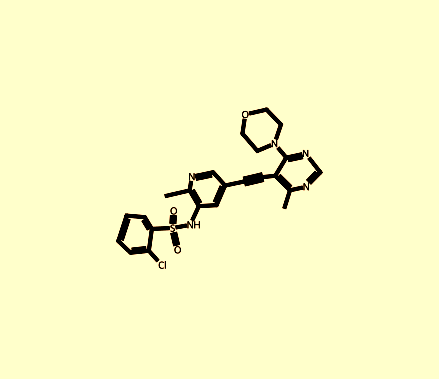 Cc1ncc(C#Cc2c(C)ncnc2N2CCOCC2)cc1NS(=O)(=O)c1ccccc1Cl